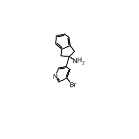 NC1(c2cncc(Br)c2)Cc2ccccc2C1